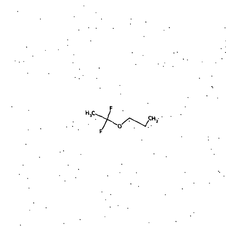 [CH2]CCOC(C)(F)F